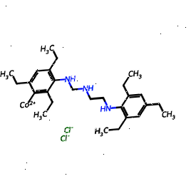 CCc1cc(CC)c(NCCNCNc2c(CC)cc(CC)[c]([Co+2])c2CC)c(CC)c1.[Cl-].[Cl-]